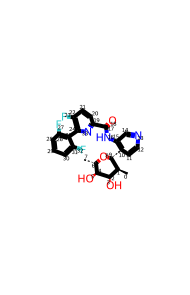 C[C@H]1[C@H](O)[C@@H](O)[C@H](C)O[C@@H]1c1ccncc1NC(=O)c1ccc(F)c(-c2c(F)cccc2F)n1